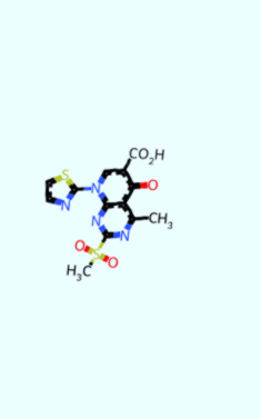 Cc1nc(S(C)(=O)=O)nc2c1c(=O)c(C(=O)O)cn2-c1nccs1